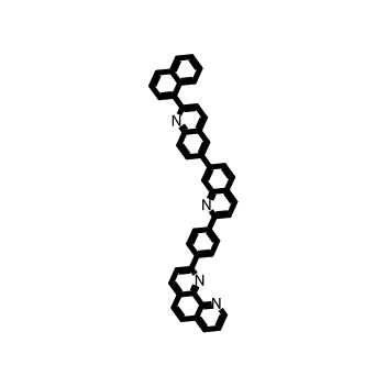 c1ccc2c(-c3ccc4cc(-c5ccc6ccc(-c7ccc(-c8ccc9ccc%10cccnc%10c9n8)cc7)nc6c5)ccc4n3)cccc2c1